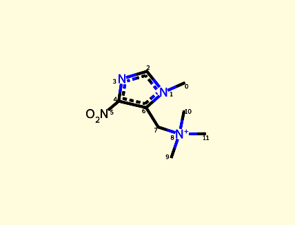 Cn1cnc([N+](=O)[O-])c1C[N+](C)(C)C